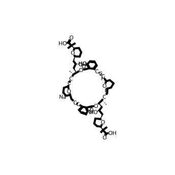 C[C@H]1CC[C@@H]2CCC[C@H](CCCc3cccc(O)c3C(=O)O[C@H](C[C@@H](O)C[C@@H]3CCC[C@H](C(C)(C)C(=O)O)O3)[C@@H](C)CCC3CCCC(CCCc4cccc([O-])c4C(=O)O[C@@H]1C[C@@H](O)C[C@@H]1CCC[C@H](C(C)(C)C(=O)O)O1)O3)O2.[Na+]